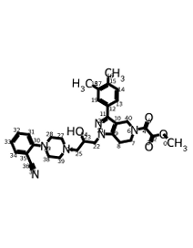 COC(=O)C(=O)N1CCc2c(c(-c3ccc(C)c(C)c3)nn2CC(O)CN2CCN(c3ccccc3C#N)CC2)C1